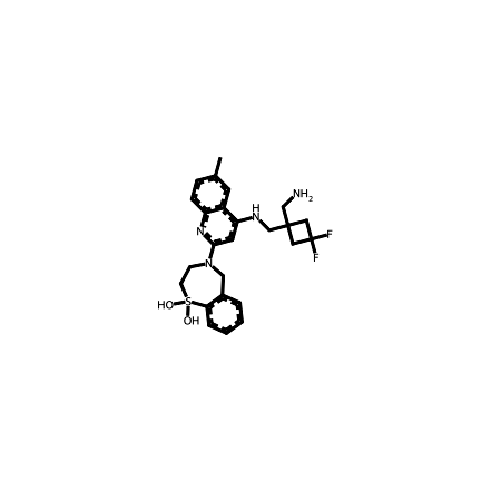 Cc1ccc2nc(N3CCS(O)(O)c4ccccc4C3)cc(NCC3(CN)CC(F)(F)C3)c2c1